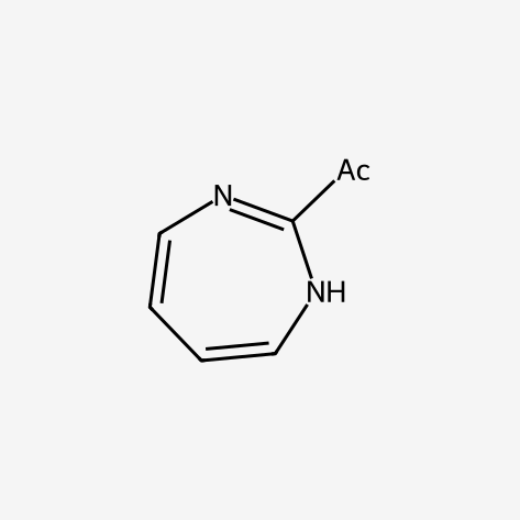 CC(=O)C1=NC=CC=CN1